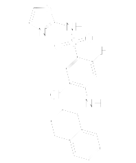 O=S(=O)(Nc1nccs1)c1cc(Cl)c(N[C@H]2CCCc3ccccc32)cc1F